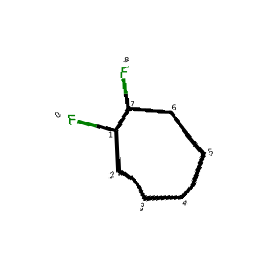 FC1[CH]CCCCC1F